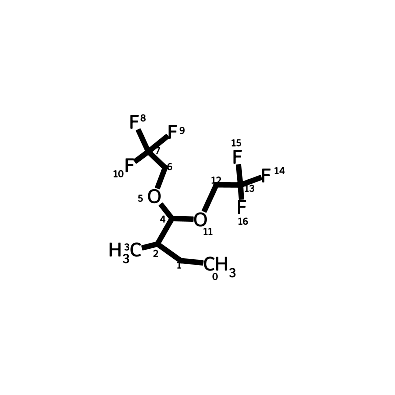 CC[C](C)C(OCC(F)(F)F)OCC(F)(F)F